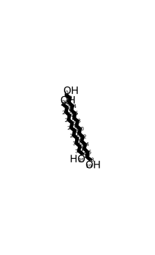 OCCCCCCCCCCCCCCCCCCO.OCCCCCCCCCCCCCCO